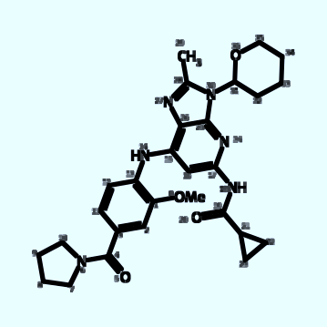 COc1cc(C(=O)N2CCCC2)ccc1Nc1cc(NC(=O)C2CC2)nc2c1nc(C)n2C1CCCCO1